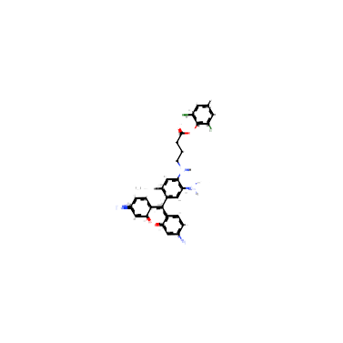 CCN(CCCC(=O)Oc1c(Cl)cc(S(=O)(=O)O)cc1Cl)c1cc(OC)c(-c2c3ccc(=N)cc-3oc3cc(N)ccc23)cc1N(C)C